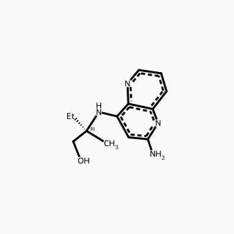 CC[C@](C)(CO)Nc1cc(N)nc2cccnc12